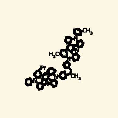 Cc1cccc(N(c2ccccc2)c2cccc3c2c2cccc4c5c(N(c6cccc(C)c6)c6cccc(CC(C)c7ccc(N(c8ccccc8)c8cccc9c8c8cccc%10c%11c(N(c%12ccccc%12)c%12ccc(C(C)C)cc%12)cccc%11n9c%108)cc7)c6)cccc5n3c24)c1